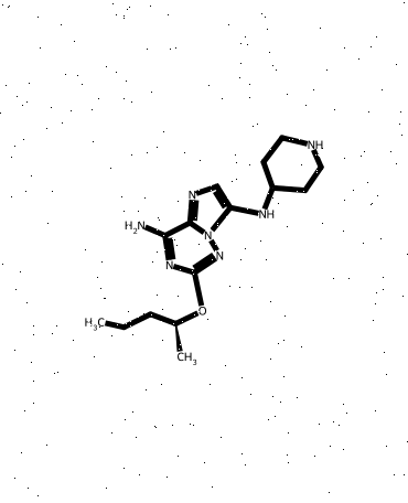 CCC[C@H](C)Oc1nc(N)c2ncc(NC3CCNCC3)n2n1